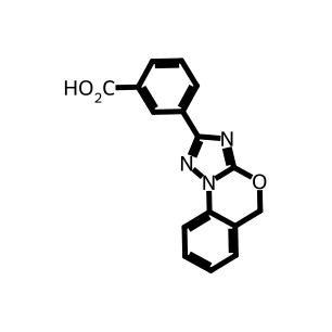 O=C(O)c1cccc(-c2nc3n(n2)-c2ccccc2CO3)c1